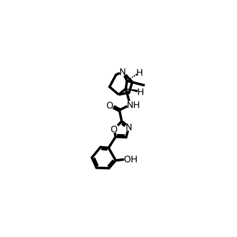 C[C@H]1[C@H](NC(=O)c2ncc(-c3ccccc3O)o2)C2CCN1CC2